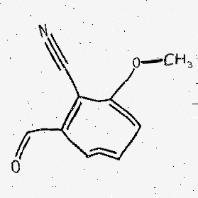 COc1cccc(C=O)c1C#N